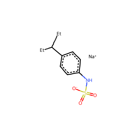 CCC(CC)c1ccc(NS(=O)(=O)[O-])cc1.[Na+]